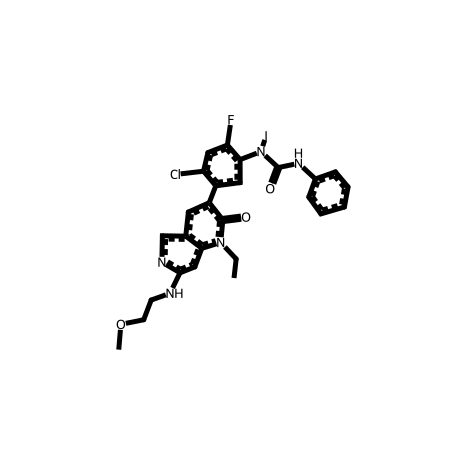 CCn1c(=O)c(-c2cc(N(I)C(=O)Nc3ccccc3)c(F)cc2Cl)cc2cnc(NCCOC)cc21